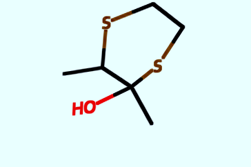 CC1SCCSC1(C)O